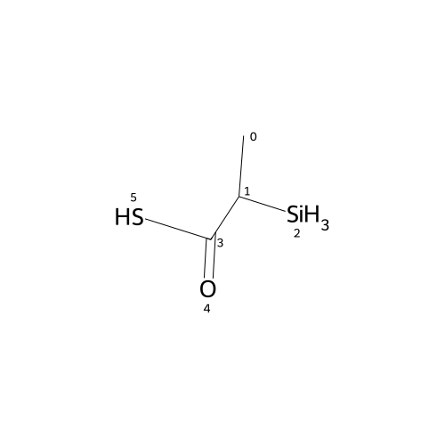 CC([SiH3])C(=O)S